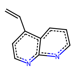 C=Cc1ccnc2ncccc12